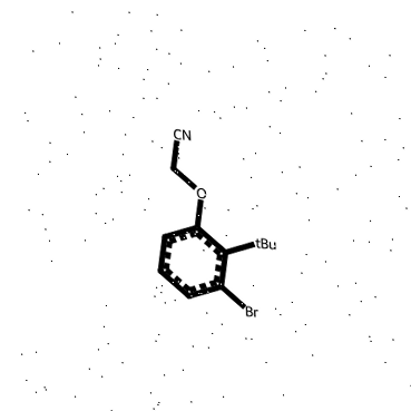 CC(C)(C)c1c(Br)cccc1OCC#N